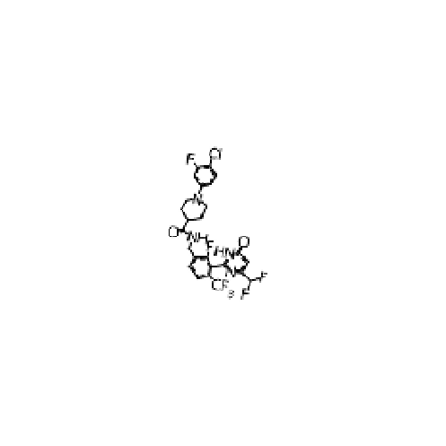 O=C(NCc1ccc(C(F)(F)F)c(-c2nc(C(F)F)cc(=O)[nH]2)c1F)C1CCN(c2ccc(Cl)c(F)c2)CC1